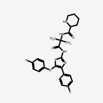 CC(C)(NC(=O)C1CCCCN1)C(=O)Nc1nc(-c2ccc(F)cc2)c(Oc2ccc(F)cc2)s1